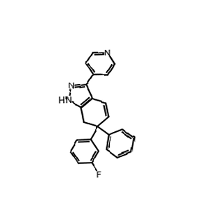 Fc1cccc(C2(c3ccccc3)C=Cc3c(-c4ccncc4)n[nH]c3C2)c1